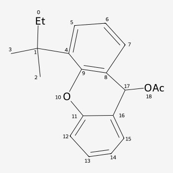 CCC(C)(C)c1cccc2c1Oc1ccccc1C2OC(C)=O